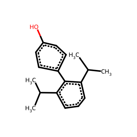 CC(C)c1cccc(C(C)C)c1-c1ccc(O)cc1